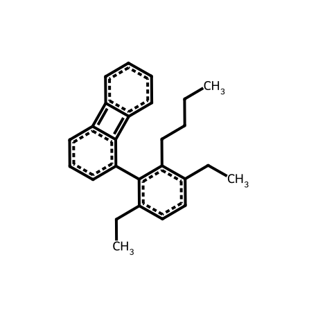 CCCCc1c(CC)ccc(CC)c1-c1cccc2c1=c1ccccc1=2